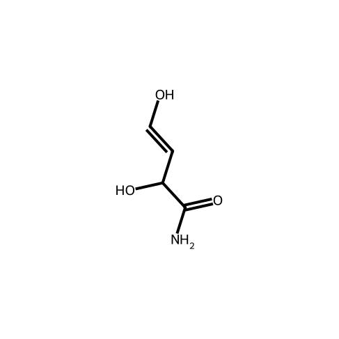 NC(=O)C(O)C=CO